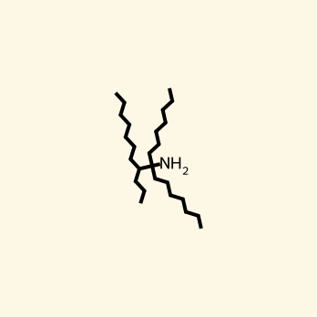 CCCCCCCC(CCC)C(N)(CCCCCCC)CCCCCCC